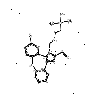 C[Si](C)(C)CCOCn1c(C=O)nc2c1-c1cc(Cl)ccc1Oc1ccccc1-2